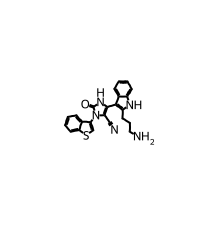 N#Cc1c(-c2c(CCCN)[nH]c3ccccc23)[nH]c(=O)n1-c1csc2ccccc12